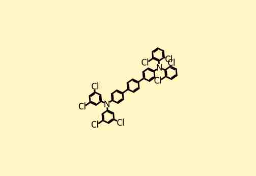 Clc1cc(Cl)cc(N(c2ccc(-c3ccc(-c4ccc(N(c5c(Cl)cccc5Cl)c5c(Cl)cccc5Cl)cc4)cc3)cc2)c2cc(Cl)cc(Cl)c2)c1